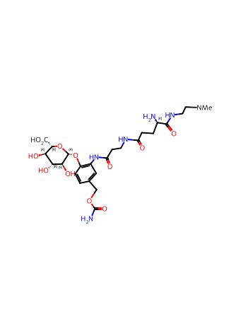 CNCCNC(=O)[C@H](N)CCC(=O)NCCC(=O)Nc1cc(COC(N)=O)ccc1O[C@H]1O[C@@H](C(=O)O)[C@H](O)[C@@H](O)[C@@H]1O